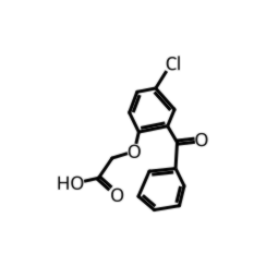 O=C(O)COc1ccc(Cl)cc1C(=O)c1ccccc1